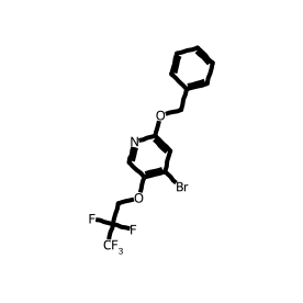 FC(F)(F)C(F)(F)COc1cnc(OCc2ccccc2)cc1Br